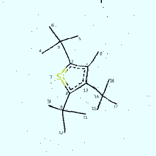 Cc1c(C(C)(C)C)sc(C(C)(C)C)c1C(C)(C)C